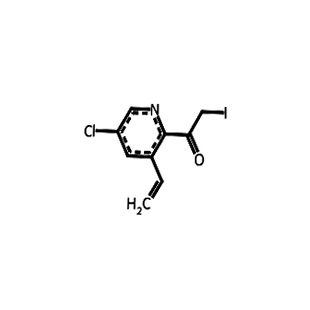 C=Cc1cc(Cl)cnc1C(=O)CI